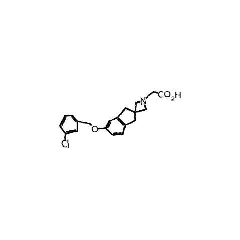 O=C(O)CN1CC2(Cc3ccc(OCc4cccc(Cl)c4)cc3C2)C1